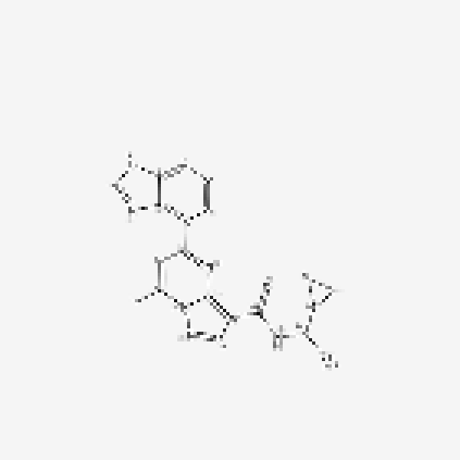 Cc1cc(-c2cccc3ocnc23)nc2c(C(=O)NC(C3CC3)C(F)(F)F)cnn12